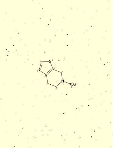 CC(C)(C)N1CCc2ccsc2C1